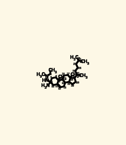 CCN(C)NC1(N)CCC2(C)C(=CCC3C2CCC2(C)C(C(C)CCCC(C)C)CCC32)C1